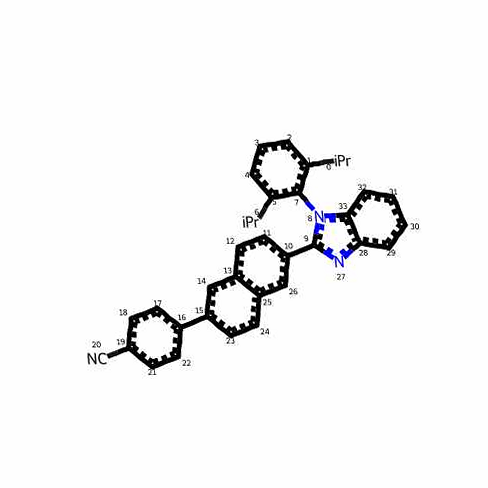 CC(C)c1cccc(C(C)C)c1-n1c(-c2ccc3cc(-c4ccc(C#N)cc4)ccc3c2)nc2ccccc21